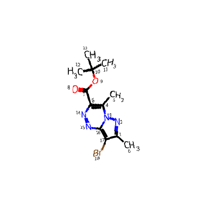 Cc1nn2c(C)c(C(=O)OC(C)(C)C)nnc2c1Br